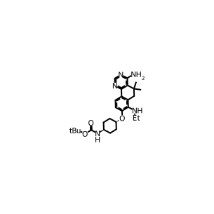 CCNc1c(O[C@H]2CC[C@H](NC(=O)OC(C)(C)C)CC2)ccc2c1CC(C)(C)c1c(N)ncnc1-2